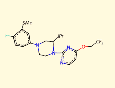 CSc1cc(N2CCN(c3nccc(OCC(F)(F)F)n3)C(C(C)C)C2)ccc1F